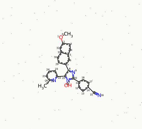 COc1ccc2cc(-c3nc(-c4ccc(C#N)cc4)n(O)c3-c3cccc(C)n3)ccc2c1